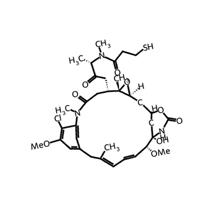 COc1cc2cc(c1Cl)N(C)C(=O)C[C@H](CC(=O)[C@H](C)N(C)C(=O)CCS)[C@]1(C)O[C@H]1C[C@@H]1C[C@@](O)(NC(=O)O1)[C@H](OC)/C=C/C=C(\C)C2